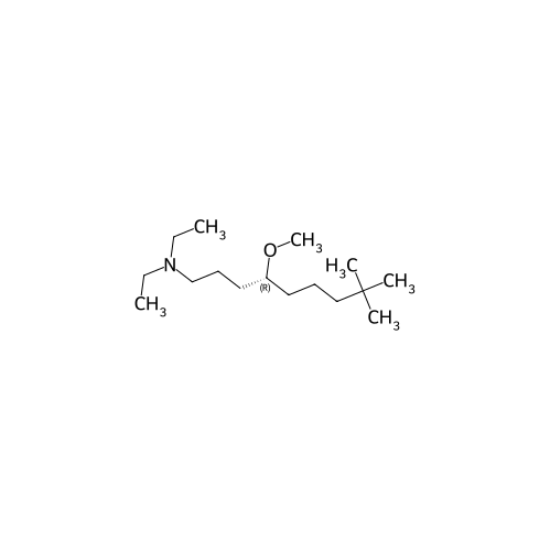 CCN(CC)CCC[C@@H](CCCC(C)(C)C)OC